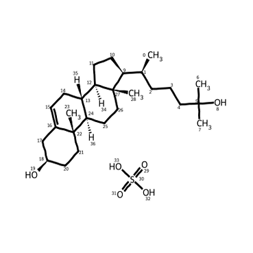 C[C@@H](CCCC(C)(C)O)[C@@H]1CC[C@@H]2[C@H]3CC=C4C[C@H](O)CC[C@@]4(C)[C@@H]3CC[C@]21C.O=S(=O)(O)O